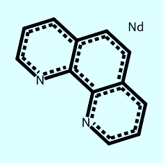 [Nd].c1cnc2c(c1)ccc1cccnc12